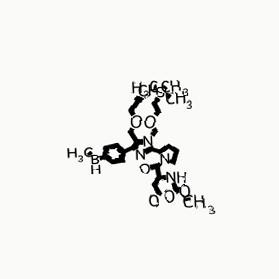 C#CCOCc1c(-c2ccc(BC)cc2)nc(C2CCCN2C(=O)C(CC=O)NC(=O)OC)n1COCC[Si](C)(C)C